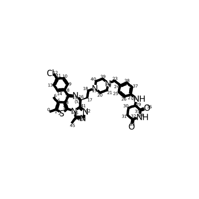 Cc1sc2c(c1C)C(c1ccc(Cl)cc1)=N[C@@H](CCN1CCN(Cc3ccc(NC4CCC(=O)NC4=O)cc3)CC1)c1nnc(C)n1-2